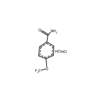 Cl.Cl.NC(=O)c1ccc(OC(F)(F)F)cc1